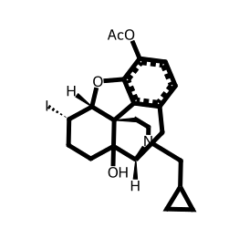 CC(=O)Oc1ccc2c3c1O[C@H]1[C@@H](I)CCC4(O)[C@@H](C2)N(CC2CC2)CC[C@]314